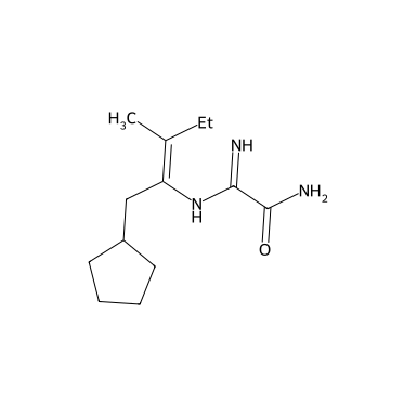 CC/C(C)=C(/CC1CCCC1)NC(=N)C(N)=O